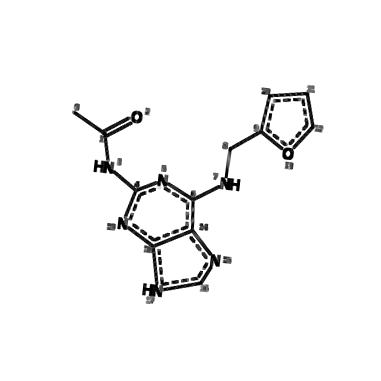 CC(=O)Nc1nc(NCc2ccco2)c2nc[nH]c2n1